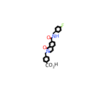 O=C(O)c1ccc(Cn2ccc3ccc(C(=O)NCc4ccc(F)cc4)cc3c2=O)cc1